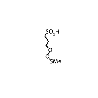 CSOOCCCS(=O)(=O)O